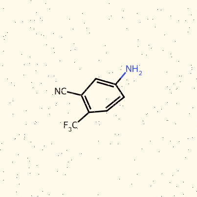 N#Cc1cc(N)ccc1C(F)(F)F